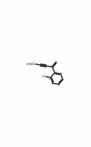 C=C(C#CCCCCCC)c1ccccc1F